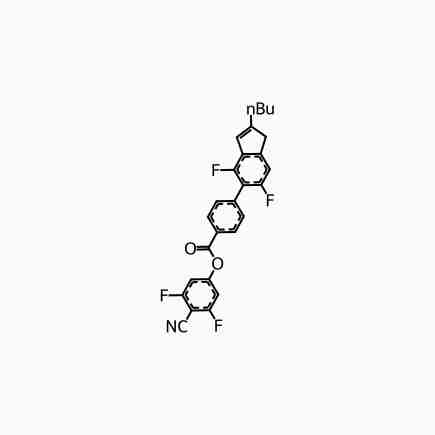 CCCCC1=Cc2c(cc(F)c(-c3ccc(C(=O)Oc4cc(F)c(C#N)c(F)c4)cc3)c2F)C1